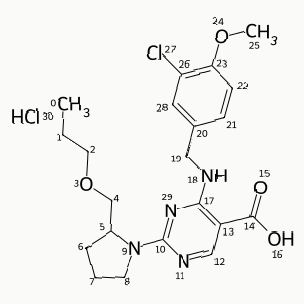 CCCOCC1CCCN1c1ncc(C(=O)O)c(NCc2ccc(OC)c(Cl)c2)n1.Cl